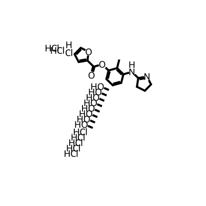 CO.CO.CO.CO.CO.CO.CO.CO.Cc1c(NC2=NCCC2)cccc1OC(=O)c1ccco1.Cl.Cl.Cl.Cl.Cl.Cl.Cl.Cl